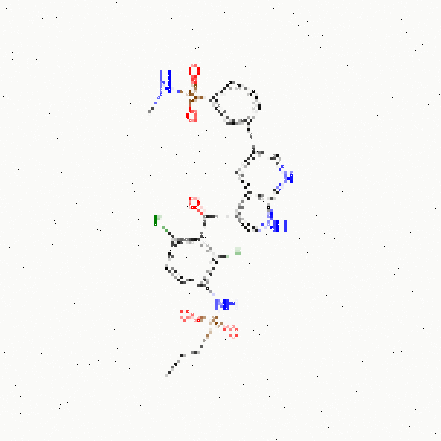 CCCS(=O)(=O)Nc1ccc(F)c(C(=O)c2c[nH]c3ncc(-c4cccc(S(=O)(=O)NC)c4)cc23)c1F